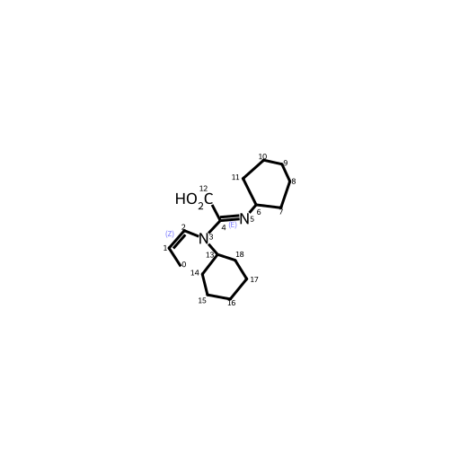 C/C=C\N(/C(=N/C1CCCCC1)C(=O)O)C1CCCCC1